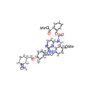 COC(=O)c1ccccc1OC(=O)N(Cc1cc(OC)ccc1OC)c1ccnc(Nc2ccc(OCC3CCCN(C)C3)c(F)c2)n1